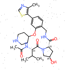 CC(=O)N[C@H](C(=O)N1C[C@H](O)C[C@H]1C(=O)NCc1ccc(-c2scnc2C)cc1OC1CCNCC1)C(C)C